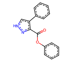 O=C(Oc1ccccc1)c1n[nH]cc1-c1ccccc1